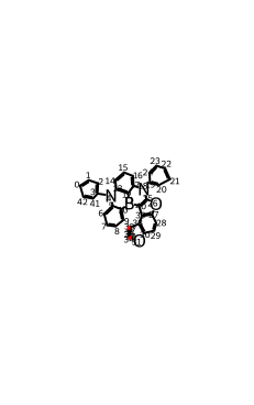 c1ccc(N2c3ccccc3B3c4c2cccc4N(c2ccccc2)c2oc4ccc5oc6ccccc6c5c4c23)cc1